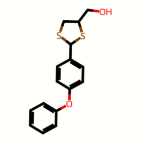 OCC1CSC(c2ccc(Oc3ccccc3)cc2)S1